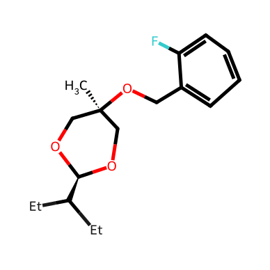 CCC(CC)[C@H]1OC[C@@](C)(OCc2ccccc2F)CO1